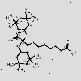 CC1(C)CC(OC(CCCCCCCC(=O)O)(OC2CC(C)(C)NC(C)(C)C2)C(=O)O)CC(C)(C)N1